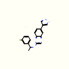 CC(Nc1cnc2cc(-c3cn[nH]c3)ccc2n1)c1cccc(F)c1.Cl